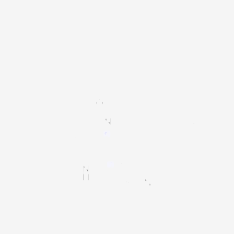 O=C1Nc2cc(Cl)ccc2/C1=C1/Nc2ccccc2/C1=N\OCc1ccccc1